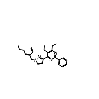 C=C/C(=C\CCC)Cn1ccc(-c2nc(-c3ccccc3)nc(CC)c2CC)n1